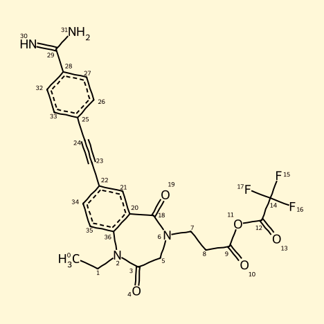 CCN1C(=O)CN(CCC(=O)OC(=O)C(F)(F)F)C(=O)c2cc(C#Cc3ccc(C(=N)N)cc3)ccc21